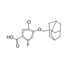 O=C(O)c1cc(Cl)c(OCC23CC4CC(CC(C4)C2)C3)cc1F